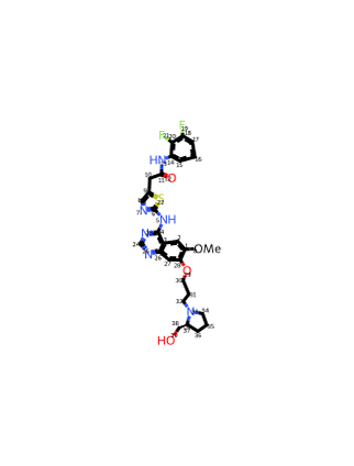 COc1cc2c(Nc3ncc(CC(=O)Nc4cccc(F)c4F)s3)ncnc2cc1OCCCN1CCC[C@H]1CO